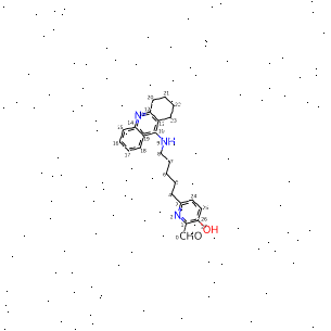 O=Cc1nc(CCCCCNc2c3c(nc4ccccc24)CCCC3)ccc1O